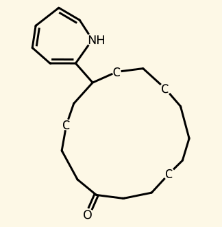 O=C1CCCCCCCCCC(C2=CC=CC=CN2)CCCC1